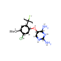 COc1cc(C(C)(C)F)c(Oc2cnc(N)nc2N)cc1Cl